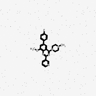 COc1cc(-c2ccc(F)cc2)cc2c(N3CCN(C)CC3)nc(-c3cccnc3)nc12